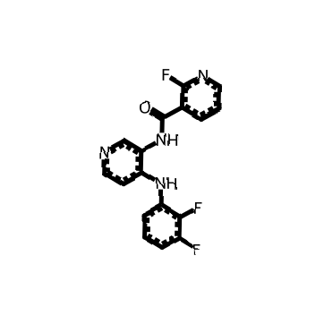 O=C(Nc1cnccc1Nc1cccc(F)c1F)c1cccnc1F